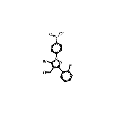 O=Cc1c(-c2ccccc2F)nn(-c2ccc([N+](=O)[O-])cc2)c1Br